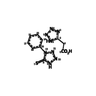 O=C(O)Cc1nnn[nH]1.S=c1[nH]nnn1-c1ccccc1